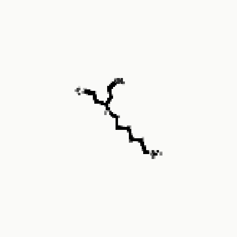 C=CCC(CC=C)OCCCCCCOC